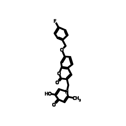 Cc1cc(=O)c(O)cn1Cc1cc2ccc(OCc3ccc(F)cc3)cc2oc1=O